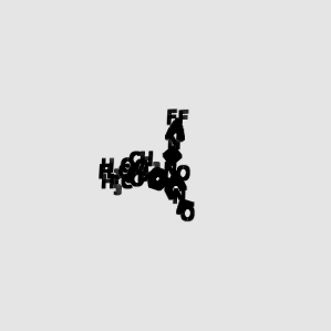 CC1(C)OB(c2ccc3c(c2)N([C@H]2C[C@@H](N4CC5C(C4)C5(F)F)C2)C(=O)C32CCN(C3COC3)CC2)OC1(C)C